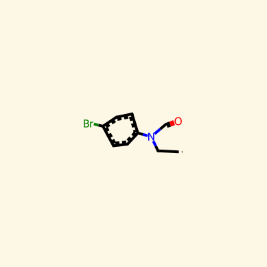 [CH2]CN(C=O)c1ccc(Br)cc1